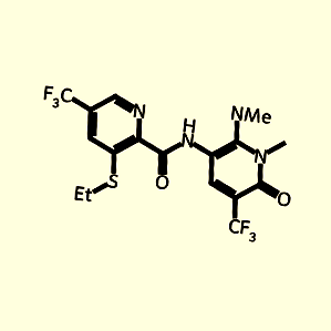 CCSc1cc(C(F)(F)F)cnc1C(=O)Nc1cc(C(F)(F)F)c(=O)n(C)c1NC